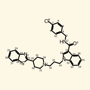 O=C(NCc1ccc(Cl)cc1)c1cn(CCCN2CCC(c3nc4ccccc4s3)CC2)c2ccccc12